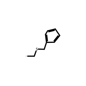 [CH]CSCc1ccccc1